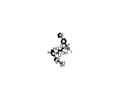 CC(C)Nc1nc([C@H]2C[C@H]3CC3N2C(=O)[C@H](O)[C@@H](O)C(=O)N[C@H](C)c2ccc(-n3cccn3)cc2)cs1